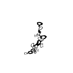 CCS(=O)(=O)c1ccc(Cl)cc1CNC(=O)c1cc(Cl)c(CN2CCC[C@H](NCCOCc3ccccc3)C2)c(C(F)(F)F)c1